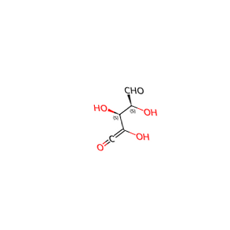 O=C=C(O)[C@@H](O)[C@H](O)C=O